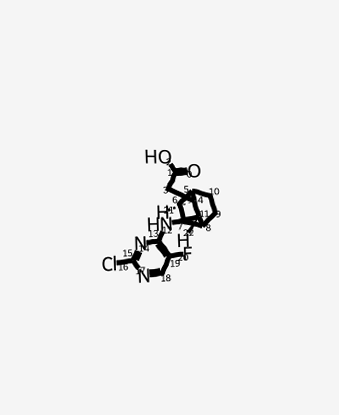 O=C(O)C[C@H]1C2CCC(CC2)[C@@H]1Nc1nc(Cl)ncc1F